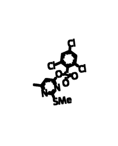 CSc1nc(C)cc(OS(=O)(=O)c2c(Cl)cc(Cl)cc2Cl)n1